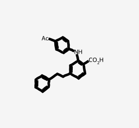 CC(=O)c1ccc(Nc2cc(CCc3ccccc3)ccc2C(=O)O)cc1